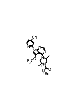 CC1CN(C(=O)OC(C)(C)C)[C@@H](C)CN1c1ncnc2c1c(OC(F)(F)F)cn2-c1cc(C#N)ccn1